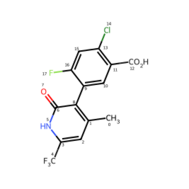 Cc1cc(C(F)(F)F)[nH]c(=O)c1-c1cc(C(=O)O)c(Cl)cc1F